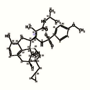 COc1ccc(S(=O)(=O)N/C(=C(/C)C(=O)NC(C)C)[C@@H]2Oc3c(O)ccc4c3[C@@]23CCN(CC2CC2)[C@H](C4)[C@@]3(C)O)cc1